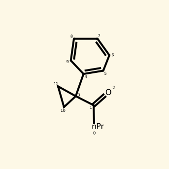 CCCC(=O)C1(c2ccccc2)CC1